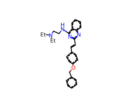 CCN(CC)CCNc1nc(/C=C/c2ccc(OCc3ccccc3)cc2)nc2ccccc12